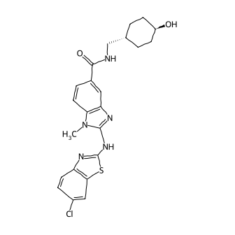 Cn1c(Nc2nc3ccc(Cl)cc3s2)nc2cc(C(=O)NC[C@H]3CC[C@H](O)CC3)ccc21